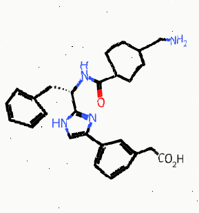 NCC1CCC(C(=O)N[C@@H](Cc2ccccc2)c2nc(-c3cccc(CC(=O)O)c3)c[nH]2)CC1